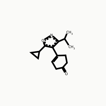 CC(C)c1noc(C2CC2)c1C1=CCC(=O)CC1